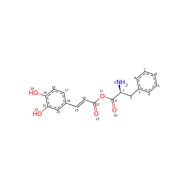 N[C@@H](Cc1ccccc1)C(=O)OC(=O)/C=C/c1ccc(O)c(O)c1